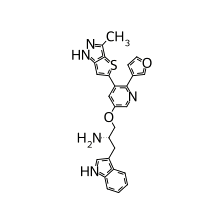 Cc1n[nH]c2cc(-c3cc(OC[C@@H](N)Cc4c[nH]c5ccccc45)cnc3-c3ccoc3)sc12